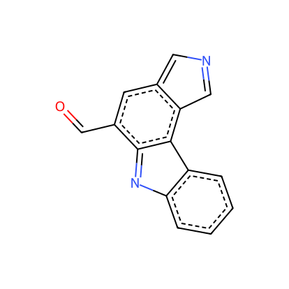 O=Cc1cc2c(c3c1=Nc1ccccc1-3)C=NC=2